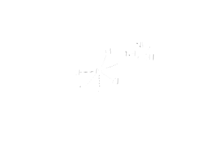 O.[Cl][Ir-2]([Cl])([Cl])([Cl])([Cl])[Cl].[NH4+].[NH4+]